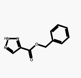 O=C(OCc1ccccc1)c1cn[nH]n1